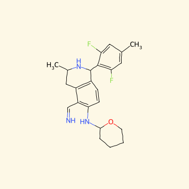 Cc1cc(F)c(C2NC(C)Cc3c2ccc(NC2CCCCO2)c3C=N)c(F)c1